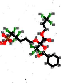 O=C(OC(OCCCC(F)(F)C(F)(F)S(=O)(=O)O)(C(=O)OCCC(F)(F)F)C(F)(F)F)C1CCCCC1